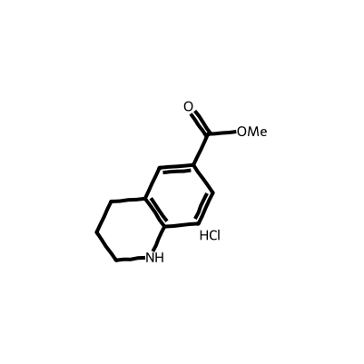 COC(=O)c1ccc2c(c1)CCCN2.Cl